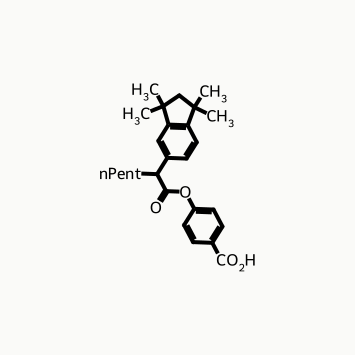 CCCCCC(C(=O)Oc1ccc(C(=O)O)cc1)c1ccc2c(c1)C(C)(C)CC2(C)C